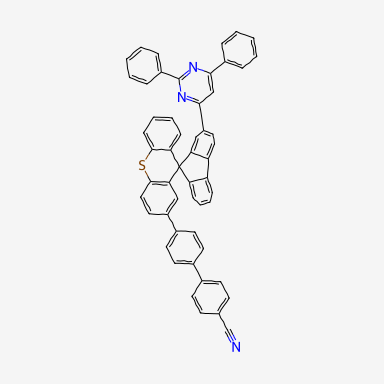 N#Cc1ccc(-c2ccc(-c3ccc4c(c3)C3(c5ccccc5S4)c4ccccc4-c4ccc(-c5cc(-c6ccccc6)nc(-c6ccccc6)n5)cc43)cc2)cc1